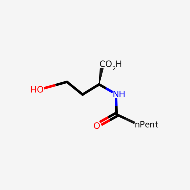 CCCCCC(=O)N[C@@H](CCO)C(=O)O